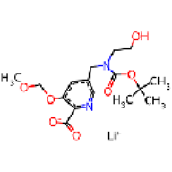 COCOc1cc(CN(CCO)C(=O)OC(C)(C)C)cnc1C(=O)[O-].[Li+]